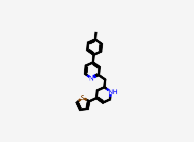 Cc1ccc(-c2ccnc(CC3CC(c4cccs4)=CCN3)c2)cc1